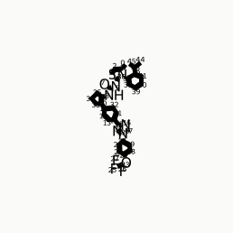 Cc1cs/c(=N\C(=O)NC2=C(c3ccc(-c4ncn(-c5ccc(OC(F)(F)F)cc5)n4)cc3)CCC2)n1-c1ccccc1C(C)C